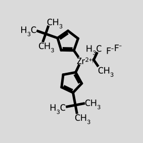 C[C](C)=[Zr+2]([C]1=CC(C(C)(C)C)=CC1)[C]1=CC(C(C)(C)C)=CC1.[F-].[F-]